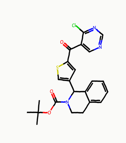 CC(C)(C)OC(=O)N1CCc2ccccc2C1c1csc(C(=O)c2cncnc2Cl)c1